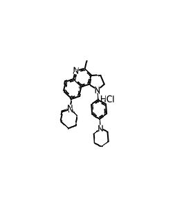 Cc1nc2ccc(N3CCCCC3)cc2c2c1CCN2c1ccc(N2CCCCC2)cc1.Cl